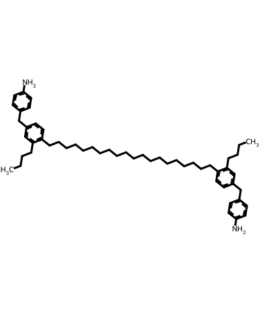 CCCCc1cc(Cc2ccc(N)cc2)ccc1CCCCCCCCCCCCCCCCCCCCc1ccc(Cc2ccc(N)cc2)cc1CCCC